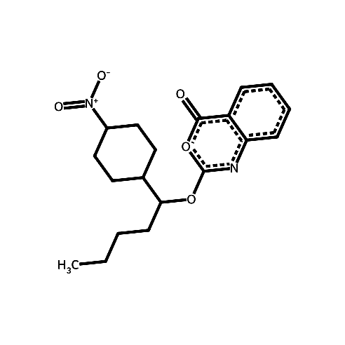 CCCCC(Oc1nc2ccccc2c(=O)o1)C1CCC([N+](=O)[O-])CC1